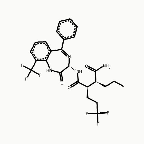 CCC[C@H](C(N)=O)[C@@H](CCC(F)(F)F)C(=O)N[C@H]1N=C(c2ccccc2)c2cccc(C(F)(F)F)c2NC1=O